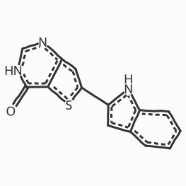 O=c1[nH]cnc2cc(-c3cc4ccccc4[nH]3)sc12